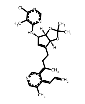 C=C/C=c1/c(C)cnc/c1=C(/C)CCC1=C[C@@H](Nc2ncnc(Cl)c2C)[C@@H]2OC(C)(C)O[C@H]12